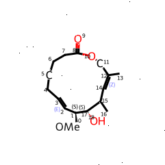 CO[C@H]1/C=C/CCCCC(=O)OC/C(C)=C\C(C)[C@@H]1O